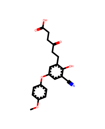 COc1ccc(Oc2cc(C#N)c(O)c(CCC(=O)CCC(=O)O)c2)cc1